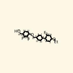 CCOc1ccc(-c2ccc(COc3ccc(CO)c(F)c3F)cc2)c(F)c1